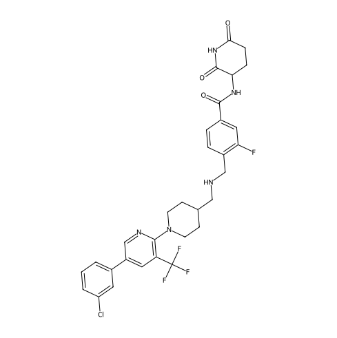 O=C1CCC(NC(=O)c2ccc(CNCC3CCN(c4ncc(-c5cccc(Cl)c5)cc4C(F)(F)F)CC3)c(F)c2)C(=O)N1